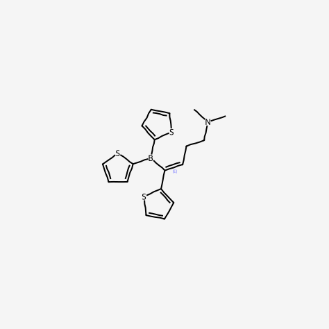 CN(C)CC/C=C(\B(c1cccs1)c1cccs1)c1cccs1